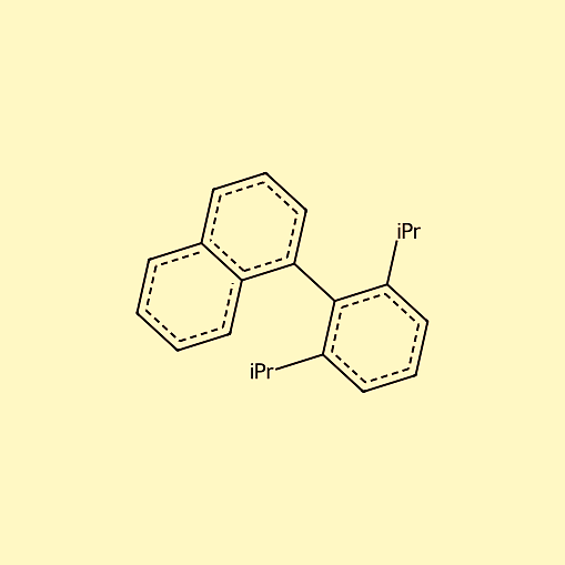 CC(C)c1cccc(C(C)C)c1-c1cccc2ccccc12